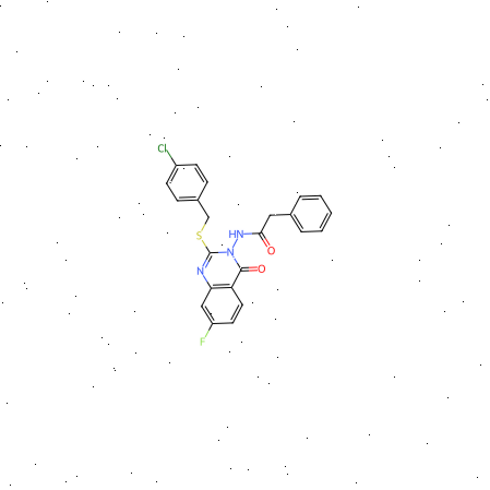 O=C(Cc1ccccc1)Nn1c(SCc2ccc(Cl)cc2)nc2cc(F)ccc2c1=O